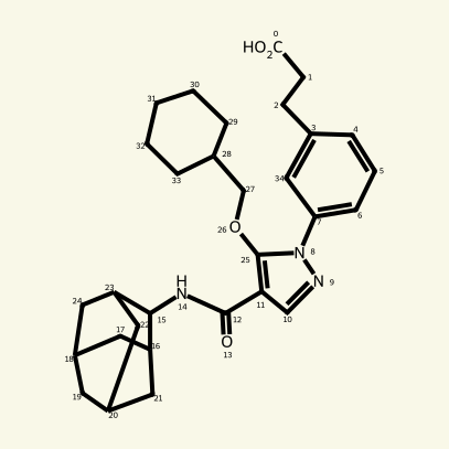 O=C(O)CCc1cccc(-n2ncc(C(=O)NC3C4CC5CC(C4)CC3C5)c2OCC2CCCCC2)c1